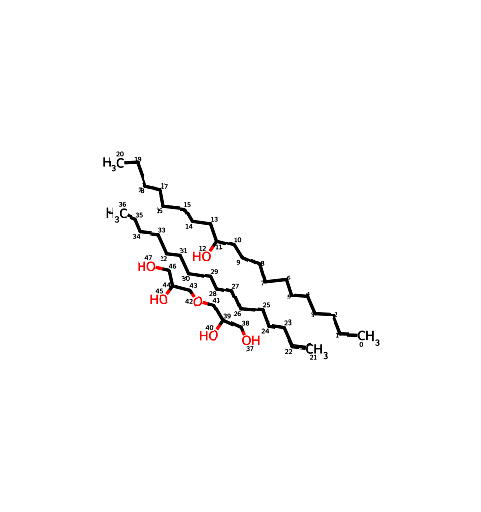 CCCCCCCCCCCC(O)CCCCCCCC.CCCCCCCCCCCCCCCC.OCC(O)COCC(O)CO